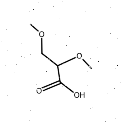 COCC(OC)C(=O)O